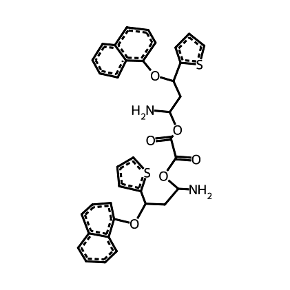 NC(CC(Oc1cccc2ccccc12)c1cccs1)OC(=O)C(=O)OC(N)CC(Oc1cccc2ccccc12)c1cccs1